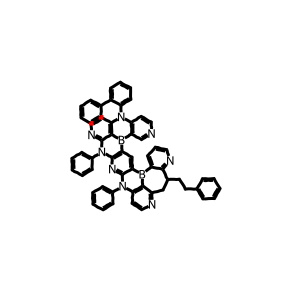 c1ccc(CCC2Cc3nccc4c3B(c3cccnc32)c2cc3c(nc2N4c2ccccc2)N(c2ccccc2)c2nccc4c2B3c2cnccc2N4c2ccccc2-c2ccccc2)cc1